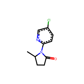 CC1CCC(=O)N1c1ccc(Cl)cn1